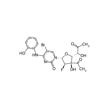 CC(=O)C(O)[C@H]1O[C@@H](n2cc(Br)c(Nc3ccccc3O)nc2=O)[C@H](F)[C@@]1(O)C(C)=O